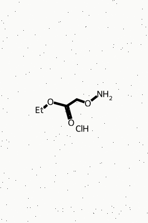 CCOC(=O)CON.Cl